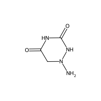 NN1CC(=O)NC(=O)N1